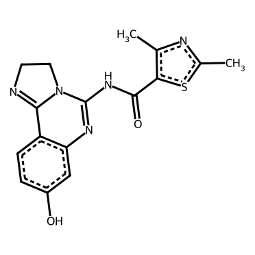 Cc1nc(C)c(C(=O)NC2=Nc3cc(O)ccc3C3=NCCN23)s1